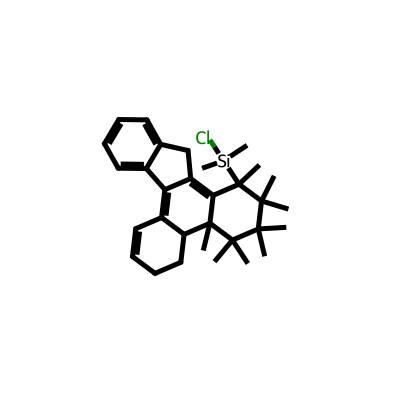 CC12C(=C3Cc4ccccc4C3=C3C=CCCC31)C(C)([Si](C)(C)Cl)C(C)(C)C(C)(C)C2(C)C